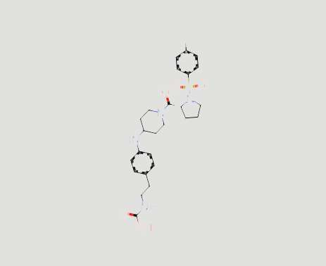 O=C(O)NCCc1ccc(NC2CCN(C(=O)[C@@H]3CCCN3S(=O)(=O)c3ccc(F)cc3)CC2)cc1